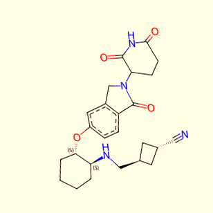 N#C[C@H]1C[C@H](CN[C@H]2CCCC[C@@H]2Oc2ccc3c(c2)CN(C2CCC(=O)NC2=O)C3=O)C1